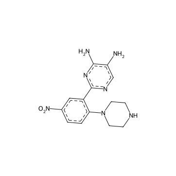 Nc1cnc(-c2cc([N+](=O)[O-])ccc2N2CCNCC2)nc1N